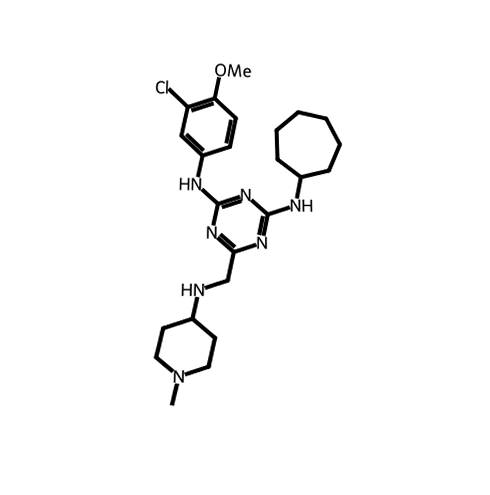 COc1ccc(Nc2nc(CNC3CCN(C)CC3)nc(NC3CCCCCC3)n2)cc1Cl